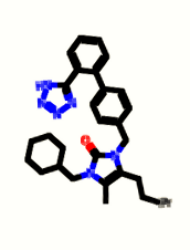 Cc1c(CCC(C)C)n(Cc2ccc(-c3ccccc3-c3nnn[nH]3)cc2)c(=O)n1CC1CCCCC1